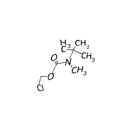 CN(C(=O)OCCl)C(C)(C)C